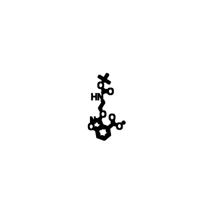 COC(=O)c1cccc2onc(OCCNC(=O)OC(C)(C)C)c12